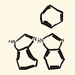 c1ccc2[nH]cnc2c1.c1ccc2[nH]cnc2c1.c1ccccc1